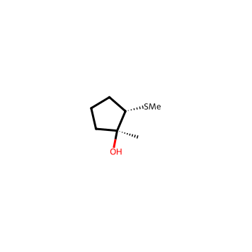 CS[C@H]1CCC[C@]1(C)O